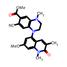 COC(=O)c1cc2c(cc1C#N)N(c1cc(OC)cc3c1cc(C)c(=O)n3C)CCN2C